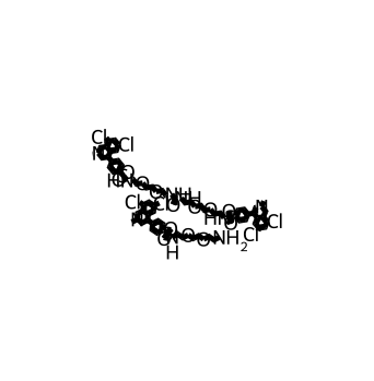 CN1Cc2c(Cl)cc(Cl)cc2C(c2ccc(S(=O)(=O)NCCOCCOCCN)cc2)C1.CN1Cc2c(Cl)cc(Cl)cc2C(c2ccc(S(=O)(=O)NCCOCCOCCNC(=O)NCCOCCOCCNS(=O)(=O)c3ccc(C4CN(C)Cc5c(Cl)cc(Cl)cc54)cc3)cc2)C1